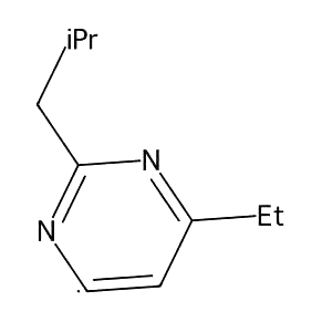 CCc1c[c]nc(CC(C)C)n1